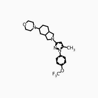 Cc1cc(N2CC3CCC(N4CCOCC4)CC3C2)nn1-c1ccc(OC(F)(F)F)cc1